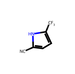 N#Cc1ccc(C(F)(F)F)[nH]1